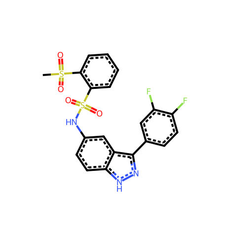 CS(=O)(=O)c1ccccc1S(=O)(=O)Nc1ccc2[nH]nc(-c3ccc(F)c(F)c3)c2c1